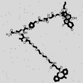 CCCC1O[C@@H]2C[C@H]3[C@@H]4C[C@H](F)C5=CC(=O)C=C[C@]5(C)[C@@]4(F)[C@@H](O)C[C@]3(C)[C@]2(C(=O)COCNC(=O)CNC(=O)CNC(=O)OCc2ccc(NC(=O)[C@H](CCCNC(N)=O)NC(=O)[C@@H](NC(=O)CCOCCOCCOCCOCCNC(=O)CCC(=O)N3Cc4ccccc4/C=C(/C)c4ccccc43)C(C)C)cc2)O1